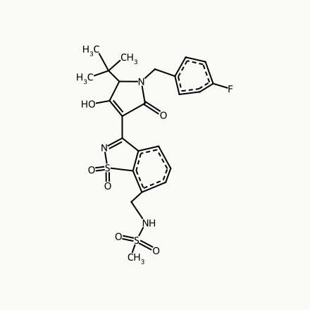 CC(C)(C)C1C(O)=C(C2=NS(=O)(=O)c3c(CNS(C)(=O)=O)cccc32)C(=O)N1Cc1ccc(F)cc1